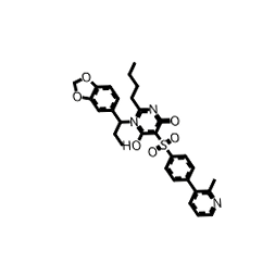 CCCCc1nc(=O)c(S(=O)(=O)c2ccc(-c3cccnc3C)cc2)c(O)n1C(CC)c1ccc2c(c1)OCO2